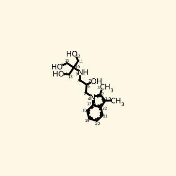 Cc1c(C)n(CC(O)CNC(CO)(CO)CO)c2ccccc12